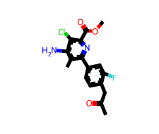 COC(=O)c1nc(-c2ccc(CC(C)=O)c(F)c2)c(C)c(N)c1Cl